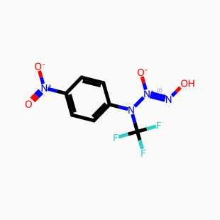 O=[N+]([O-])c1ccc(N(/[N+]([O-])=N/O)C(F)(F)F)cc1